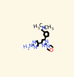 CN(C)Cc1cccc(-c2cc(-c3cnc(N)nc3)nc(N3CCOCC3)n2)c1